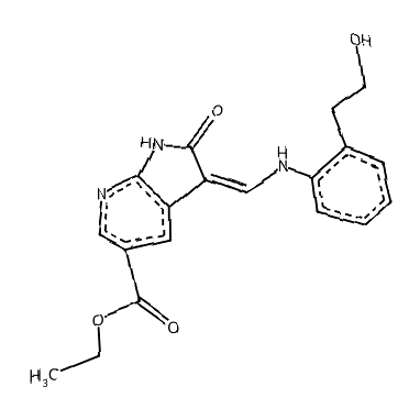 CCOC(=O)c1cnc2c(c1)C(=CNc1ccccc1CCO)C(=O)N2